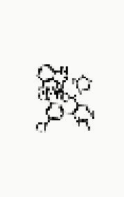 CSc1cccc2nc([C@@H]3CCCN3C(=O)c3cnc(C)nc3-c3cc(Cl)cc(Cl)c3)[nH]c12